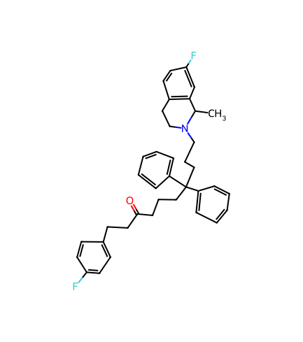 CC1c2cc(F)ccc2CCN1CCCC(CCCC(=O)CCc1ccc(F)cc1)(c1ccccc1)c1ccccc1